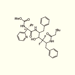 COC(=O)N[C@@](C(=O)NC(Cc1ccccc1)C(O)C(F)(F)C(Cc1ccccc1)NC(=O)CC(C)(C)C)(c1ccccn1)C(C)C